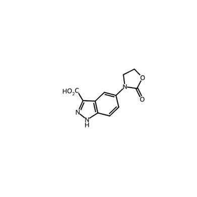 O=C(O)c1n[nH]c2ccc(N3CCOC3=O)cc12